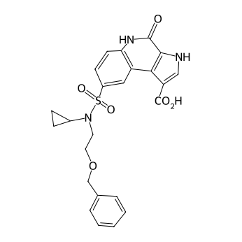 O=C(O)c1c[nH]c2c(=O)[nH]c3ccc(S(=O)(=O)N(CCOCc4ccccc4)C4CC4)cc3c12